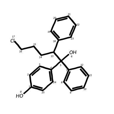 Oc1ccc(C(O)(c2ccccc2)C(CCCCl)c2ccccc2)cc1